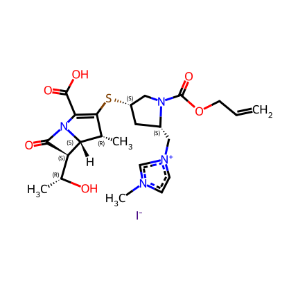 C=CCOC(=O)N1C[C@@H](SC2=C(C(=O)O)N3C(=O)[C@H]([C@@H](C)O)[C@H]3[C@H]2C)C[C@H]1C[n+]1ccn(C)c1.[I-]